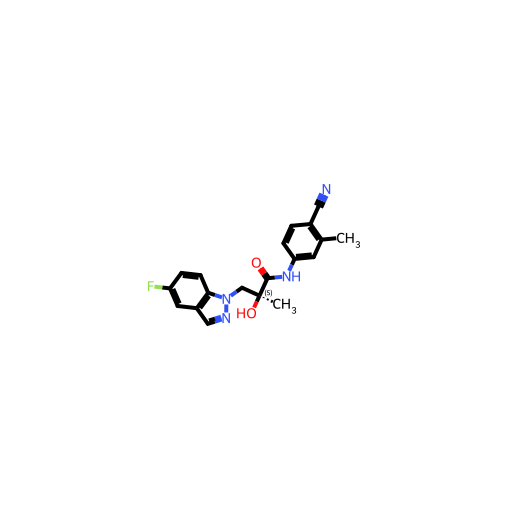 Cc1cc(NC(=O)[C@@](C)(O)Cn2ncc3cc(F)ccc32)ccc1C#N